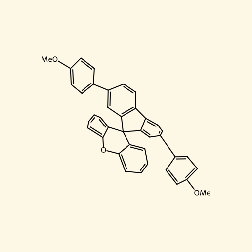 COc1ccc(-c2ccc3c(c2)C2(c4ccccc4Oc4ccccc42)c2cc(-c4ccc(OC)cc4)ccc2-3)cc1